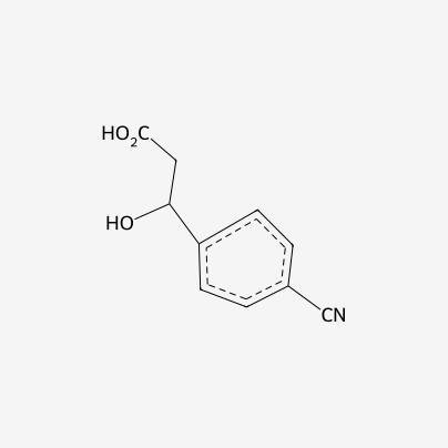 N#Cc1ccc(C(O)CC(=O)O)cc1